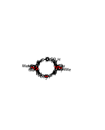 CN[C@@H](C)C(=O)N[C@H](C(=O)N1CC[C@@H]2C1C(=O)N[C@@H](Cc1ccc3ccccc3c1)C(=O)N[C@H](C(=O)O)Cc1ccc(cc1)OCc1cn(nn1)[C@@H]1CCN(C(=O)[C@@H](NC(=O)[C@H](C)NC)C(C)(C)C)[C@@H]1C(=O)N[C@@H](Cc1ccc3ccccc3c1)C(=O)N[C@H](C(=O)O)Cc1ccc(cc1)OCc1cn2nn1)C(C)(C)C